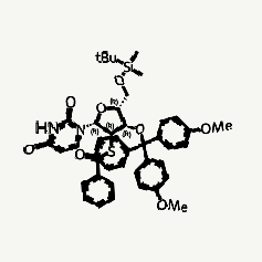 COc1ccc(C(O[C@H]2[C@@H](SC(=O)c3ccccc3)[C@H](n3ccc(=O)[nH]c3=O)O[C@@H]2CO[Si](C)(C)C(C)(C)C)(c2ccccc2)c2ccc(OC)cc2)cc1